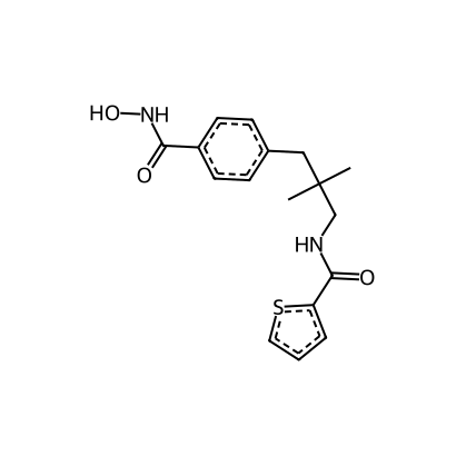 CC(C)(CNC(=O)c1cccs1)Cc1ccc(C(=O)NO)cc1